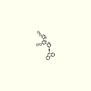 O=COc1ccnc(-c2cc(OC=O)cc(-c3cc(C#Cc4cc5ccccc5c5ccccc45)ccn3)n2)c1